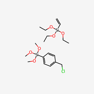 C=C[Si](OCC)(OCC)OCC.CO[Si](OC)(OC)c1ccc(CCl)cc1